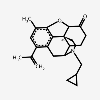 C=C(C)c1cc(C)c2c3c1CC1C4CCC(=O)C(O2)[C@@]34CCN1CC1CC1